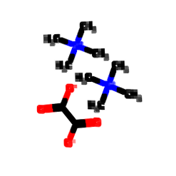 C[N+](C)(C)C.C[N+](C)(C)C.O=C([O-])C(=O)[O-]